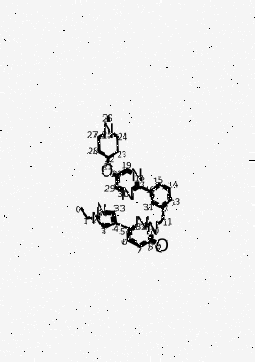 CCn1cc(-c2ccc(=O)n(Cc3cccc(-c4ncc(OC5CCN(C)CC5)cn4)c3)n2)cn1